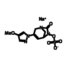 COc1cnn(C2=CC3CN(C2)C(=O)N3OS(=O)(=O)[O-])c1.[Na+]